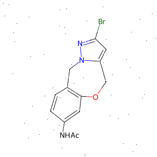 CC(=O)Nc1ccc2c(c1)OCc1cc(Br)nn1C2